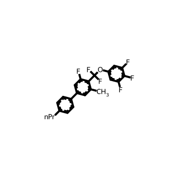 CCCc1ccc(-c2cc(C)c(C(F)(F)Oc3cc(F)c(F)c(F)c3)c(F)c2)cc1